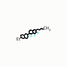 C/C=C/CCc1cc2ccc(C3CCC4CC(CC)CCC4C3)c(F)c2c(F)c1F